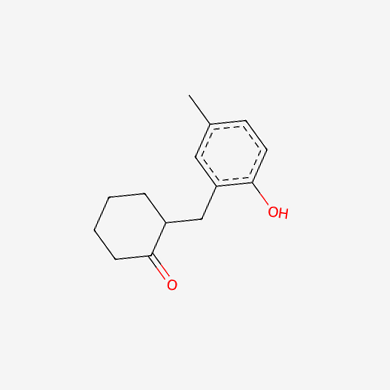 Cc1ccc(O)c(CC2CCCCC2=O)c1